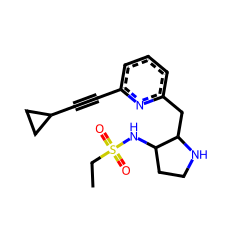 CCS(=O)(=O)NC1CCNC1Cc1cccc(C#CC2CC2)n1